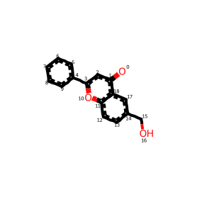 O=c1cc(-c2ccccc2)oc2ccc(CO)cc12